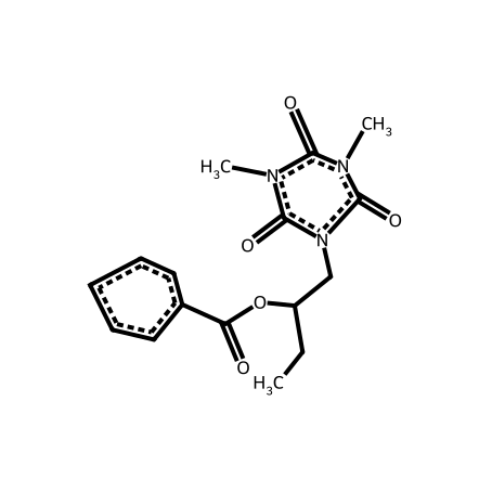 CCC(Cn1c(=O)n(C)c(=O)n(C)c1=O)OC(=O)c1ccccc1